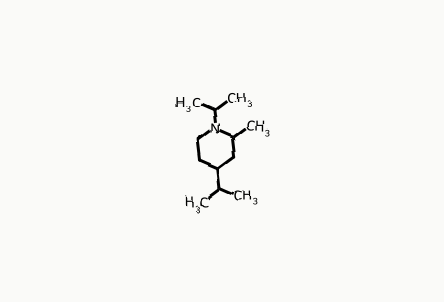 CC(C)C1CCN(C(C)C)C(C)C1